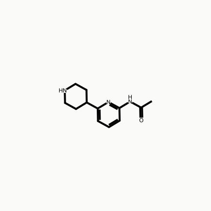 CC(=O)Nc1cccc(C2CCNCC2)n1